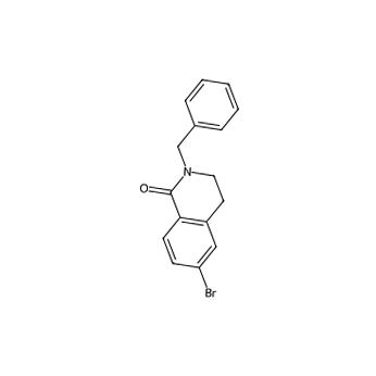 O=C1c2ccc(Br)cc2CCN1Cc1ccccc1